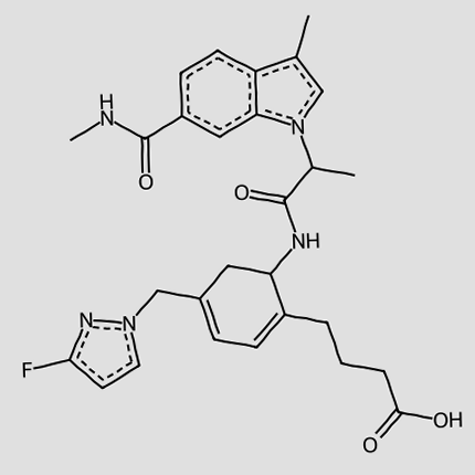 CNC(=O)c1ccc2c(C)cn(C(C)C(=O)NC3CC(Cn4ccc(F)n4)=CC=C3CCCC(=O)O)c2c1